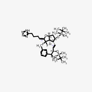 Cc1cccc(C(C)[C@@H](/C=C/[C@@H]2[C@@H]3[C@H](C[C@H]2O[Si](C)(C)C(C)(C)C)O/C(=C\CCCc2nnn[nH]2)C3(F)F)O[Si](C)(C)C(C)(C)C)c1